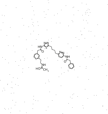 CB(O)NCCc1cccc(CC(=O)Nc2nnc(CCCCc3ccc(NC(=O)Cc4ccccc4)nn3)s2)c1